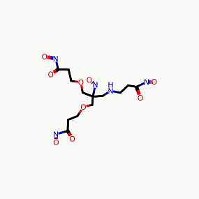 O=NC(=O)CCNCC(COCCC(=O)N=O)(COCCC(=O)N=O)N=O